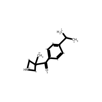 CC(C)c1ccc(C(=O)C2(C)CNC2)cc1